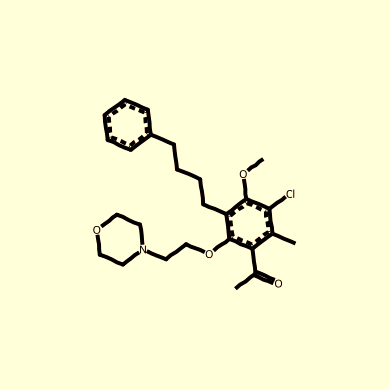 COc1c(Cl)c(C)c(C(C)=O)c(OCCN2CCOCC2)c1CCCCc1ccccc1